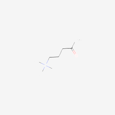 COC(=O)CCC[N+](C)(C)C